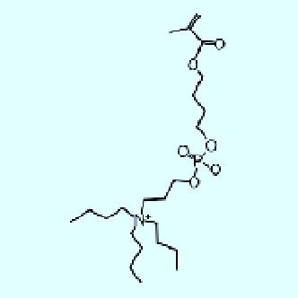 C=C(C)C(=O)OCCCCOP(=O)([O-])OCCC[N+](CCCC)(CCCC)CCCC